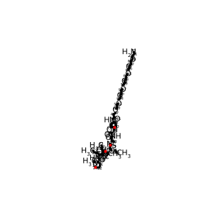 CCCO[C@H](C[C@H](C(C)C)N(CCC)C(=O)[C@@H](NC(=O)[C@H]1CCCCN1C)[C@@H](C)CC)c1nc(C(=O)N[C@@H](Cc2ccc(NC(=O)CCOCCOCCOCCOCCOCCOCCOCCOCCN)cc2)C(=O)O)cs1